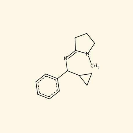 CN1CCCC1=NC(c1ccccc1)C1CC1